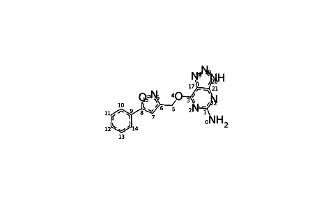 Nc1nc(OCc2cc(-c3ccccc3)on2)c2nn[nH]c2n1